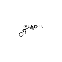 Cc1ccc(S(=O)(=O)OC[C@H]2CN(c3cc(F)c(N4CCCSCCC4)c(F)c3)C(=O)O2)cc1